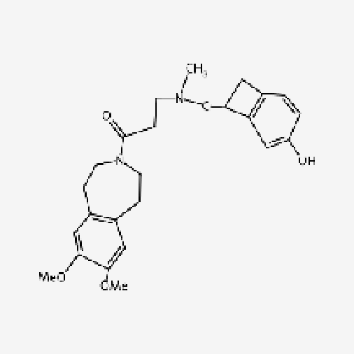 COc1cc2c(cc1OC)CCN(C(=O)CCN(C)CC1Cc3ccc(O)cc31)CC2